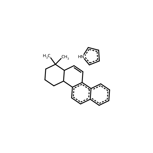 CC1(C)CCCC2c3ccc4ccccc4c3C=CC21.c1cc[nH]c1